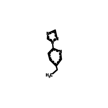 CCc1ccc(-n2cncn2)nc1